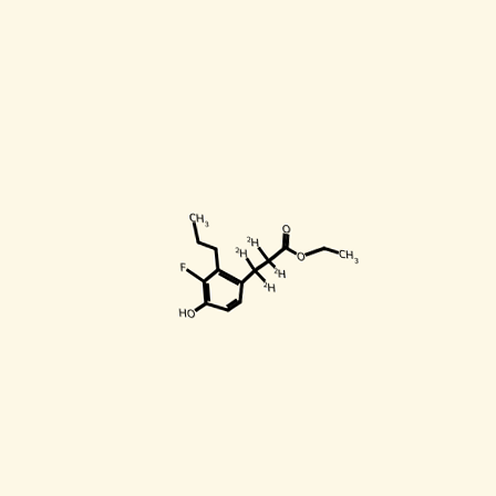 [2H]C([2H])(C(=O)OCC)C([2H])([2H])c1ccc(O)c(F)c1CCC